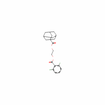 O=C(OCCOC(=O)C12CC3CC(CC(C3)C1)C2)c1c(F)cccc1F